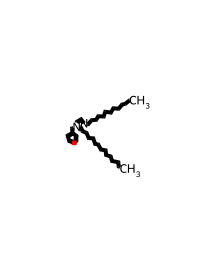 CCCCCCCCCCCCCCC1N(CCCCCCCCCCCCC)C=CN1Cc1ccccc1